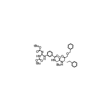 CCC(C)[C@H](NC(=O)c1cccc(NC(=NC(=O)OC(C)(C)C)NC(=O)OC(C)(C)C)c1)C(=O)N[C@@H](CCc1ccccc1)C(=O)COCc1ccccc1